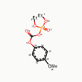 CCOP(=O)(OCC)OC(=O)Oc1ccc(OC)cc1